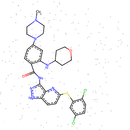 CN1CCN(c2ccc(C(=O)Nc3n[nH]c4ccc(Sc5cc(Cl)ccc5Cl)nc34)c(NC3CCOCC3)c2)CC1